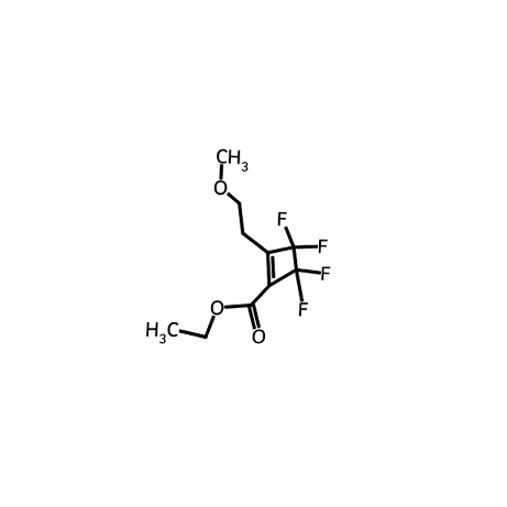 CCOC(=O)C1=C(CCOC)C(F)(F)C1(F)F